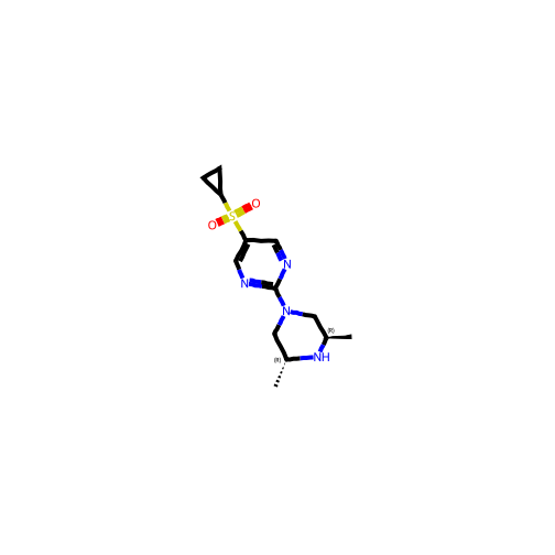 C[C@@H]1CN(c2ncc(S(=O)(=O)C3CC3)cn2)C[C@@H](C)N1